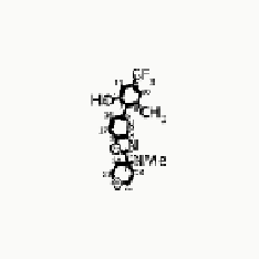 CNC1(c2nc3nc(-c4c(C)cc(C(F)(F)F)cc4O)ccc3o2)CCOCC1